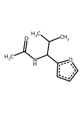 CC(=O)NC(c1ccco1)C(C)C